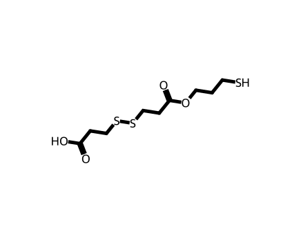 O=C(O)CCSSCCC(=O)OCCCS